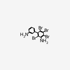 Nc1cccc(-c2c(Br)c(N)c(Br)c(Br)c2Br)c1